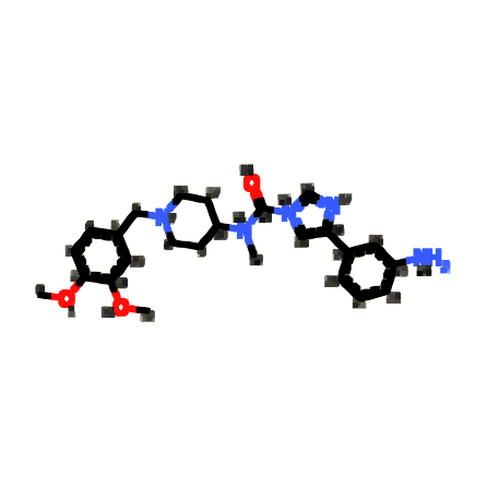 COc1ccc(CN2CCC(N(C)C(=O)n3cnc(-c4cccc(N)c4)c3)CC2)cc1OC